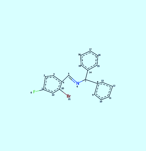 Fc1ccc(C=NC(c2ccccc2)c2ccccc2)c(Br)c1